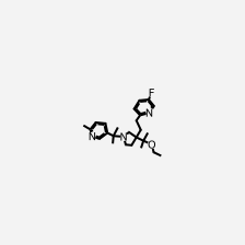 CCOC(C)(C)C1(CCc2ccc(F)cn2)CCN(C(C)(C)c2ccc(C)nc2)C1